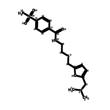 CN(C)Cc1ccc(CSCCNC(=O)c2ccc(S(N)(=O)=O)cc2)o1